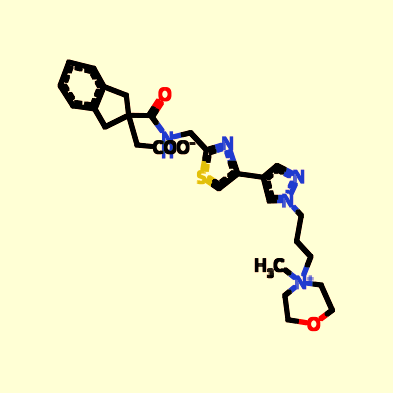 C[N+]1(CCCn2cc(-c3csc(CNC(=O)C4(CC(=O)[O-])Cc5ccccc5C4)n3)cn2)CCOCC1